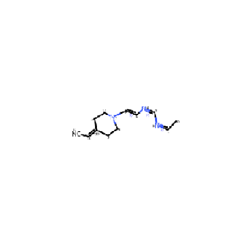 C\C=N/C=N\C=C\N1CCC(=CC#N)CC1